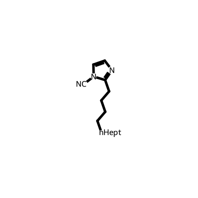 CCCCCCCCCCCc1nccn1C#N